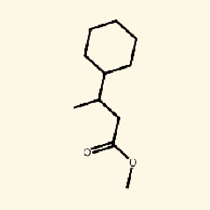 COC(=O)CC(C)C1CCCCC1